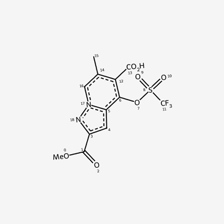 COC(=O)c1cc2c(OS(=O)(=O)C(F)(F)F)c(C(=O)O)c(C)cn2n1